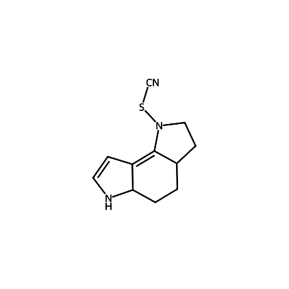 N#CSN1CCC2CCC3NC=CC3=C21